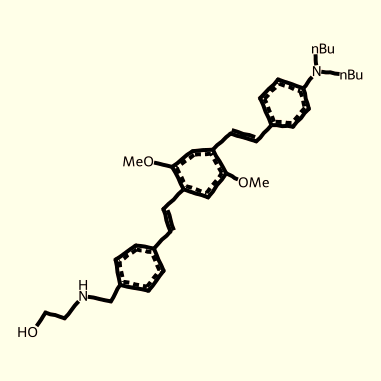 CCCCN(CCCC)c1ccc(C=Cc2cc(OC)c(C=Cc3ccc(CNCCO)cc3)cc2OC)cc1